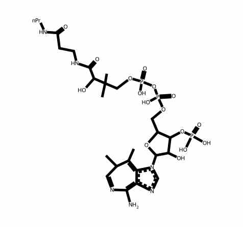 CCCNC(=O)CCNC(=O)C(O)C(C)(C)COP(=O)(O)OP(=O)(O)OCC1OC(n2cnc3c2=C(C)C(C)C=NC=3N)C(O)C1OP(=O)(O)O